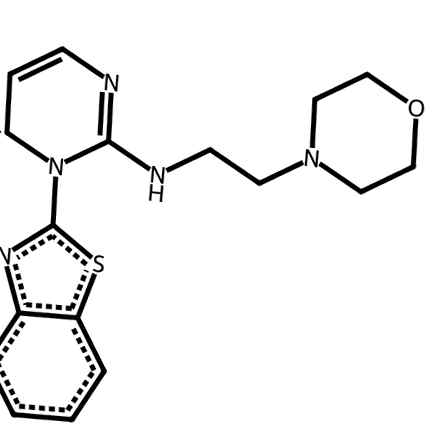 [CH]1C=CN=C(NCCN2CCOCC2)N1c1nc2ccccc2s1